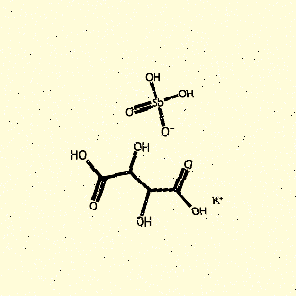 O=C(O)C(O)C(O)C(=O)O.[K+].[O]=[Sb]([O-])([OH])[OH]